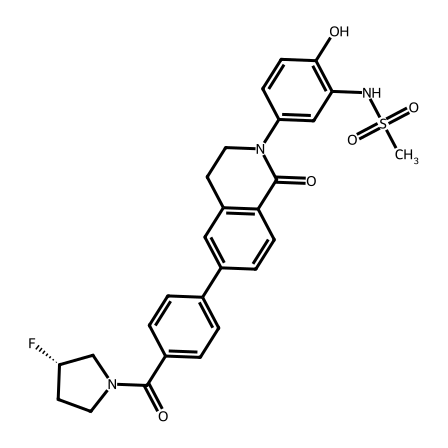 CS(=O)(=O)Nc1cc(N2CCc3cc(-c4ccc(C(=O)N5CC[C@H](F)C5)cc4)ccc3C2=O)ccc1O